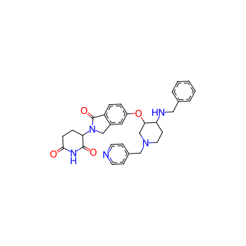 O=C1CCC(N2Cc3cc(OC4CN(Cc5ccncc5)CCC4NCc4ccccc4)ccc3C2=O)C(=O)N1